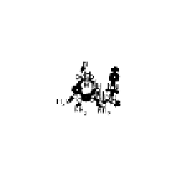 Cc1nc(-c2ccc(C(C)(C)C)cc2)nc(C)c1C(=O)N[C@@H](COC(C)(C)C)C(=O)N[C@@H](CCN)C(=O)N(C)[C@@H]1C(=O)N[C@@H](C)C(=O)N[C@H](C(=O)NCC#N)Cc2ccc(OCCN)c(c2)-c2cc1ccc2OCCN